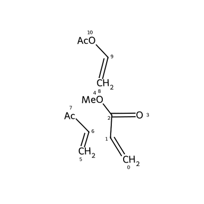 C=CC(=O)OC.C=CC(C)=O.C=COC(C)=O